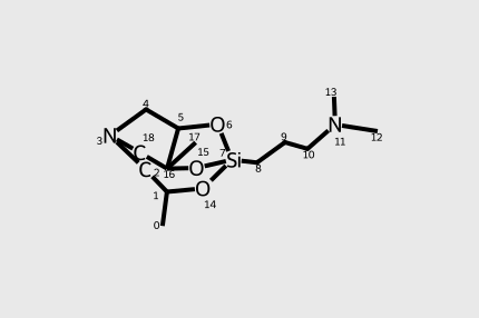 CC1CN2CC3O[Si](CCCN(C)C)(O1)OC3(C)C2